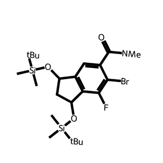 CNC(=O)c1cc2c(c(F)c1Br)C(O[Si](C)(C)C(C)(C)C)CC2O[Si](C)(C)C(C)(C)C